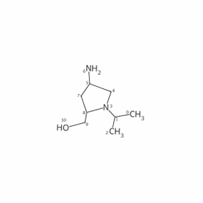 CC(C)N1CC(N)CC1CO